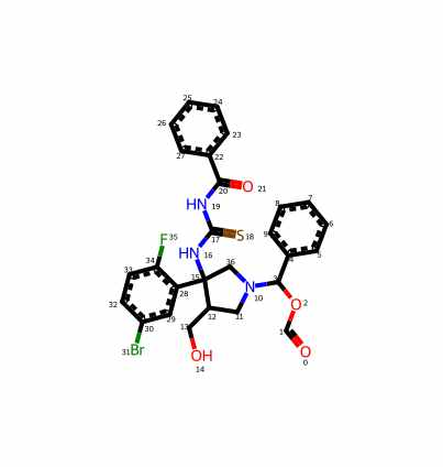 O=COC(c1ccccc1)N1CC(CO)C(NC(=S)NC(=O)c2ccccc2)(c2cc(Br)ccc2F)C1